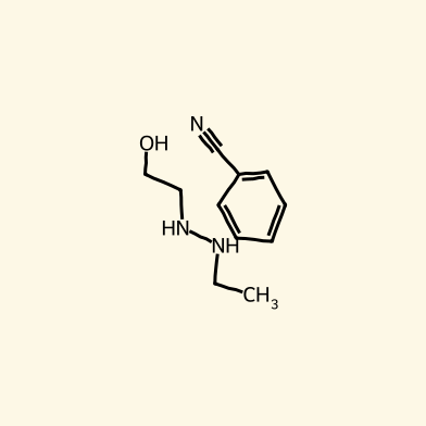 CCNNCCO.N#Cc1ccccc1